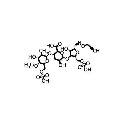 C#CCO/N=C\[C@@H]1O[C@H](COS(=O)(=O)O)C(O[C@@H]2OC(C(=O)O)[C@@H](O[C@@H]3OC(COS(=O)(=O)O)[C@@H](OC)[C@H](O)C3C)CC2O)[C@@H]1O